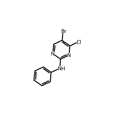 Clc1nc(Nc2ccccc2)ncc1Br